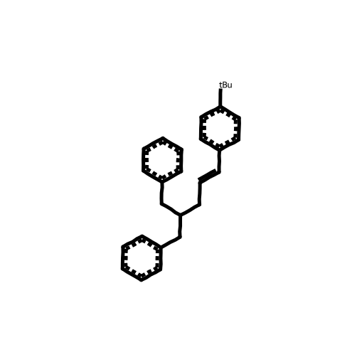 CC(C)(C)c1ccc(C=CCC(Cc2ccccc2)Cc2ccccc2)cc1